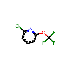 FC(F)(F)Oc1cccc(Cl)n1